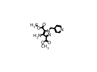 COC(=O)c1nn(Cc2ccncc2)c(C(=O)OC)c1N